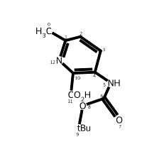 Cc1ccc(NC(=O)OC(C)(C)C)c(C(=O)O)n1